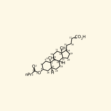 CCCC(=O)O[C@H]1CC[C@]2(C)C3CC[C@]4(C)C(CCCC(=O)O)CCC4[C@@H]3CC[C@@H]2C1